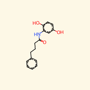 O=C(CCCc1ccccc1)Nc1cc(O)ccc1O